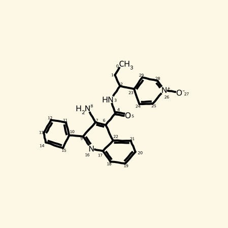 CCC(NC(=O)c1c(N)c(-c2ccccc2)nc2ccccc12)c1cc[n+]([O-])cc1